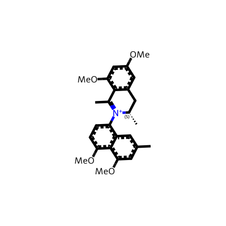 COc1cc2c(c(OC)c1)C(C)=[N+](c1ccc(OC)c3c(OC)cc(C)cc13)[C@@H](C)C2